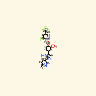 COc1cc(-c2cnc(-c3ccc(C)nc3)[nH]2)ccc1OCc1ncc(C(F)(F)F)cc1F